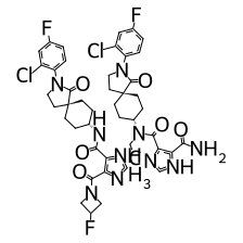 CCN(C(=O)c1nc[nH]c1C(N)=O)[C@H]1CC[C@]2(CCN(c3ccc(F)cc3Cl)C2=O)CC1.O=C(N[C@H]1CC[C@]2(CCN(c3ccc(F)cc3Cl)C2=O)CC1)c1[nH]cnc1C(=O)N1CC(F)C1